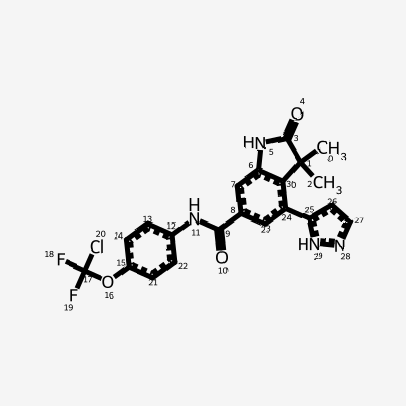 CC1(C)C(=O)Nc2cc(C(=O)Nc3ccc(OC(F)(F)Cl)cc3)cc(-c3ccn[nH]3)c21